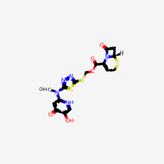 O=CN(c1cc(=O)c(O)c[nH]1)c1nnc(SCOC(=O)C2=CCS[C@H]3CC(=O)N23)s1